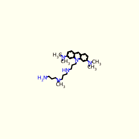 CN(CCCN)CCCNCCC[n+]1c2cc(N(C)C)ccc2cc2ccc(N(C)C)cc21